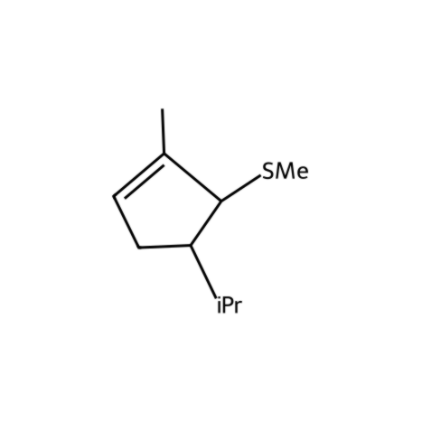 CSC1C(C)=CCC1C(C)C